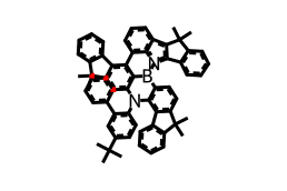 CC(C)(C)c1ccc(N2c3cc4c(c5c3B(c3ccc6c(c32)-c2ccccc2C6(C)C)n2c3c(c6cccc-5c62)C(C)(C)c2ccccc2-3)-c2ccccc2C4(C)C)c(-c2ccccc2)c1